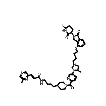 Cc1cncc(/C=C/C(=O)NCCCCC2CCN(C(=O)c3ccc(N4CN(CCCCSc5cccc6c5CN(C5CCC(=O)NC5=O)C6=O)CC4C)cn3)CC2)n1